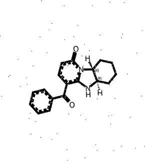 O=C(c1ccccc1)c1ccc(=O)n2c1N[C@@H]1CCCC[C@H]12